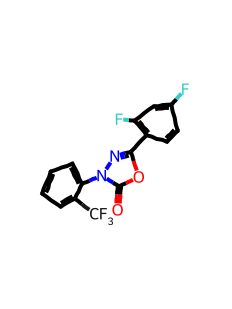 O=c1oc(-c2ccc(F)cc2F)nn1-c1ccccc1C(F)(F)F